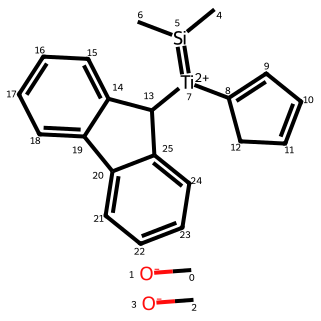 C[O-].C[O-].C[Si](C)=[Ti+2]([C]1=CC=CC1)[CH]1c2ccccc2-c2ccccc21